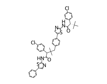 CC(C)(Cc1ccc(-c2cnc(NC(=O)[C@H](c3ccc(Cl)cc3)C(C)(C)C)s2)cc1)C(C(=O)Nc1ncc(-c2ccccc2)s1)c1ccc(Cl)cc1